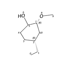 CC[C@@H]1CCC(O)[C@H](OC)C1